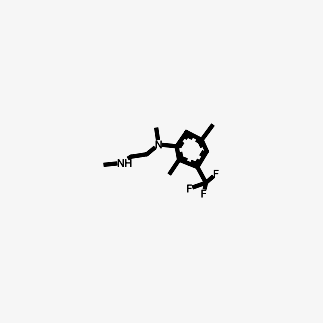 CNCCN(C)c1cc(C)cc(C(F)(F)F)c1C